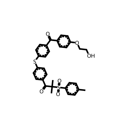 Cc1ccc(S(=O)(=O)C(C)(C)C(=O)c2ccc(Sc3ccc(C(=O)c4ccc(OCCO)cc4)cc3)cc2)cc1